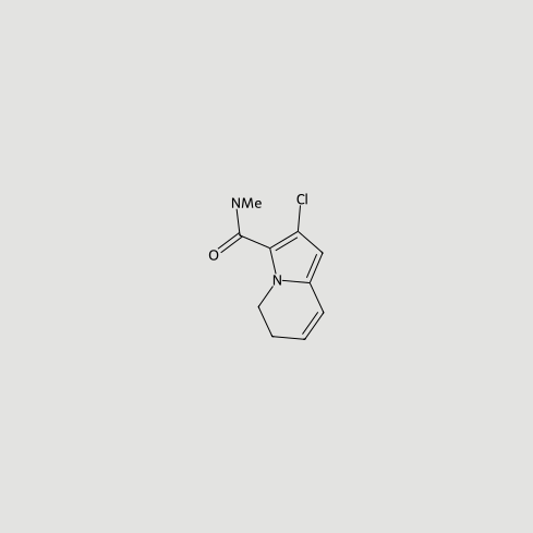 CNC(=O)c1c(Cl)cc2n1CCC=C2